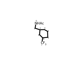 CC(=O)NCC1CCCC(C(F)(F)F)C1